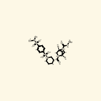 CCN(CC)S(=O)(=O)c1ccc(S(=O)(=O)N2CCC[C@@H](C(=O)N3C[C@H]4C[C@@H]3CN4C(=O)OC(C)(C)C)C2)cc1